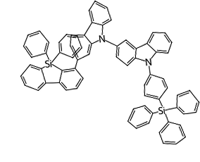 c1ccc([Si](c2ccccc2)(c2ccccc2)c2ccc(-n3c4ccccc4c4cc(-n5c6ccccc6c6ccc(-c7cccc8c7[Si](c7ccccc7)(c7ccccc7)c7ccccc7-8)cc65)ccc43)cc2)cc1